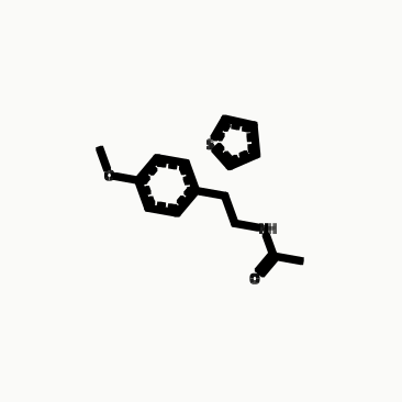 COc1ccc(CCNC(C)=O)cc1.c1ccsc1